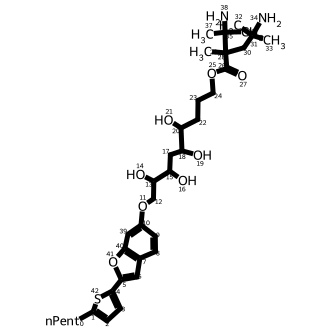 CCCCCc1ccc(-c2cc3ccc(OCC(O)C(O)CC(O)C(O)CCCOC(=O)C(C)(CC(C)(C)N)C(C)(C)N)cc3o2)s1